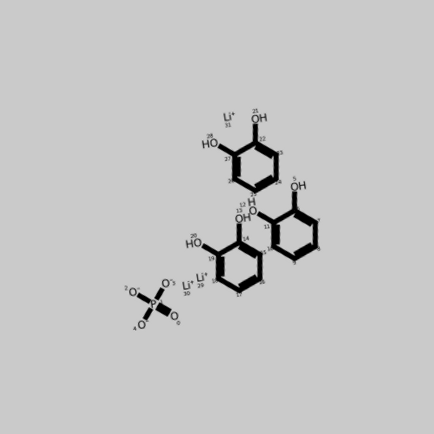 O=P([O-])([O-])[O-].Oc1ccccc1O.Oc1ccccc1O.Oc1ccccc1O.[Li+].[Li+].[Li+]